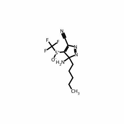 CCCCCC1(N)N=NC(C#N)=C1[S+]([O-])C(F)(F)F